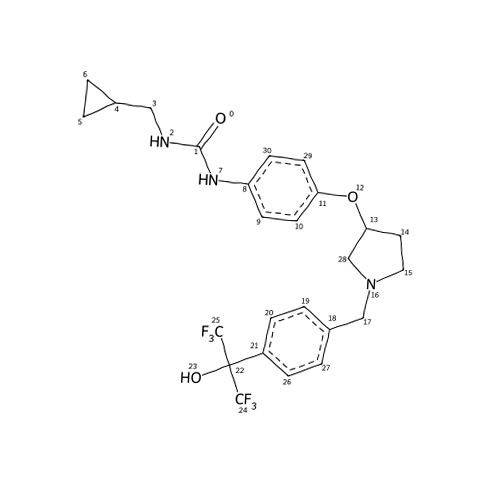 O=C(NCC1CC1)Nc1ccc(OC2CCN(Cc3ccc(C(O)(C(F)(F)F)C(F)(F)F)cc3)C2)cc1